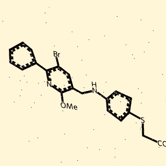 COc1nc(-c2ccccc2)c(Br)cc1CNc1ccc(SCC(=O)O)cc1